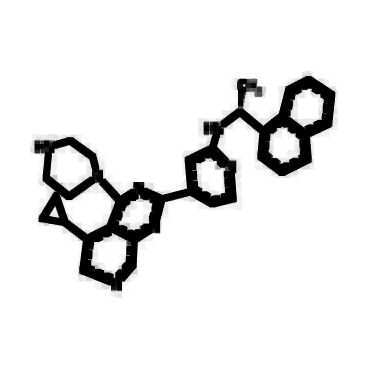 C[C@@H](Nc1cc(-c2nc(N3CCNCC3)c3c(C4CC4)cncc3n2)ccn1)c1cccc2ccccc12